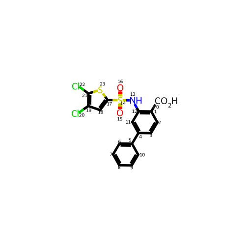 O=C(O)c1ccc(-c2ccccc2)cc1NS(=O)(=O)c1cc(Cl)c(Cl)s1